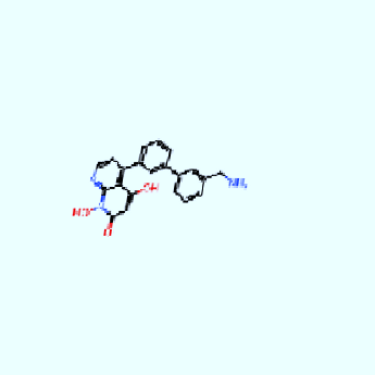 NCc1cccc(-c2cccc(-c3ccnc4c3c(O)cc(=O)n4O)c2)c1